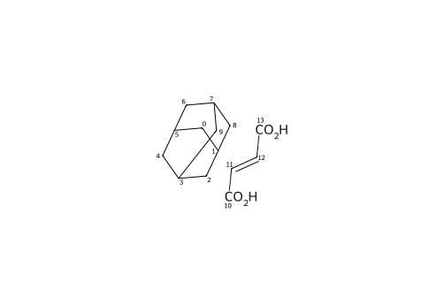 C1C2CC3CC1CC(C2)C3.O=C(O)C=CC(=O)O